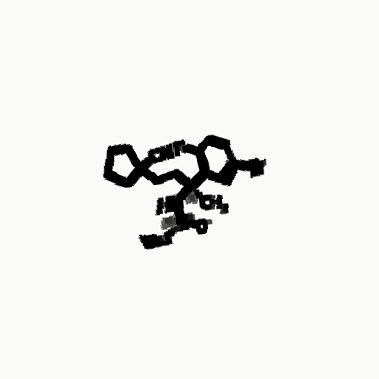 CC(C)(C)[S@@+]([O-])N[C@@](C)(CCC1(C#N)CCCC1)c1cc(Br)ccc1F